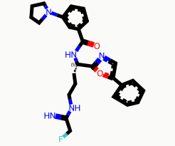 N=C(CF)NCCC[C@H](NC(=O)c1cccc(N2CCCC2)c1)c1ncc(-c2ccccc2)o1